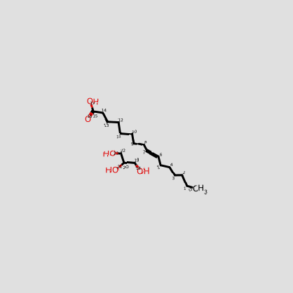 CCCCCCC=CCCCCCCCC(=O)O.OCC(O)CO